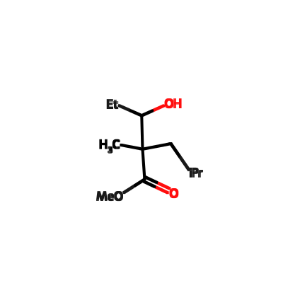 CCC(O)C(C)(CC(C)C)C(=O)OC